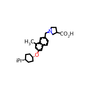 Cc1cc(O[C@H]2CC[C@H](C(C)C)CC2)cc2ccc(CN3CCC(C(=O)O)C3)cc12